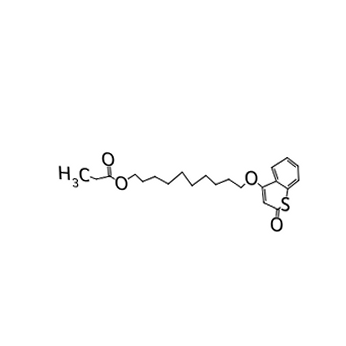 CCC(=O)OCCCCCCCCCCOc1cc(=O)sc2ccccc12